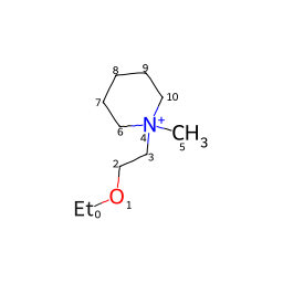 CCOCC[N+]1(C)CCCCC1